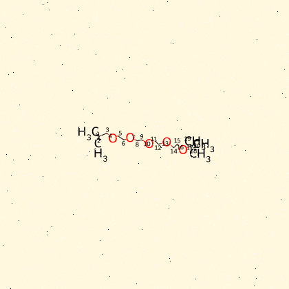 CC(C)COCCOCCOCCOCCOC(C)(C)C